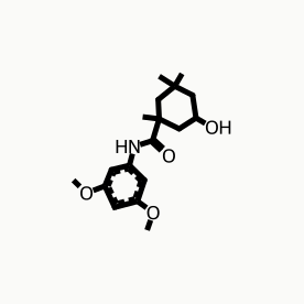 COc1cc(NC(=O)C2(C)CC(O)CC(C)(C)C2)cc(OC)c1